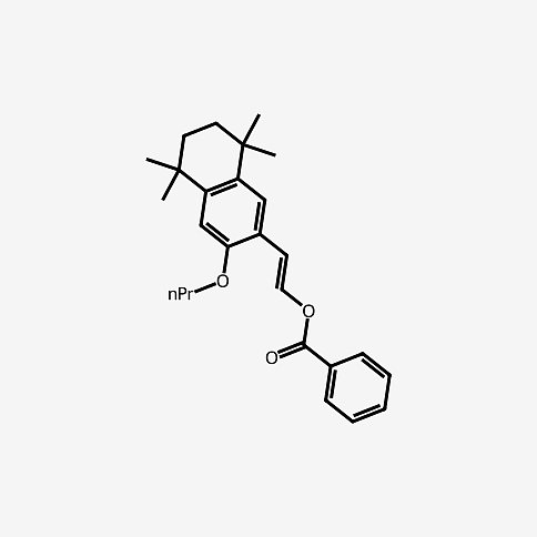 CCCOc1cc2c(cc1/C=C/OC(=O)c1ccccc1)C(C)(C)CCC2(C)C